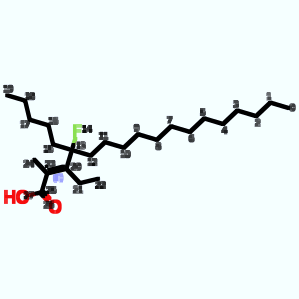 CCCCCCCCCCCCCC(F)(CCCCC)/C(CC)=C(\C)C(=O)O